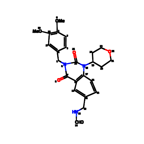 COc1ccc(Cn2c(=O)c3cc(CNC=O)ccc3n(C3CCOCC3)c2=O)cc1OC